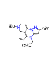 C=CC1=C(CN(C)C(C)CC)C(=C)n2nc(CCC)cc2N1CC=O